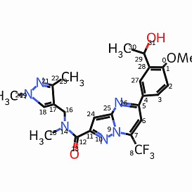 COc1ccc(-c2cc(C(F)(F)F)n3nc(C(=O)N(C)Cc4cn(C)nc4C)cc3n2)cc1C(C)O